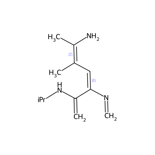 C=N/C(=C/C(C)=C(/C)N)C(=C)NC(C)C